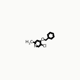 Cc1cc(OCc2ccccc2)c(Cl)cn1